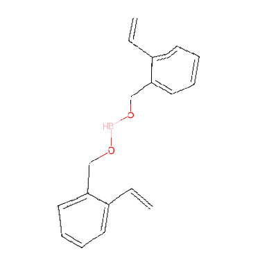 C=Cc1ccccc1COBOCc1ccccc1C=C